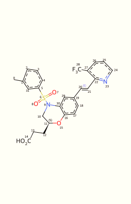 Cc1cccc(S(=O)(=O)N2C[C@H](CCC(=O)O)Oc3ccc(/C=C/c4ncccc4C(F)(F)F)cc32)c1